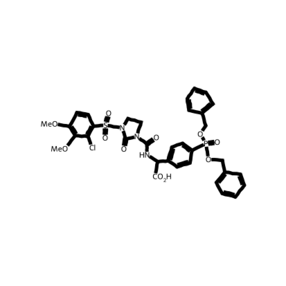 COc1ccc(S(=O)(=O)N2CCN(C(=O)NC(C(=O)O)c3ccc(P(=O)(OCc4ccccc4)OCc4ccccc4)cc3)C2=O)c(Cl)c1OC